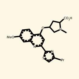 COc1ccc2c(OC3CC(C(=O)O)N(C)C3)cc(-c3nc(C(C)C)cs3)nc2c1